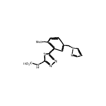 COc1ccc(Cn2cccn2)cc1-c1nnc(NC(=O)O)s1